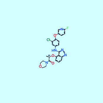 C[C@@H](Oc1cccc2ncnc(Nc3ccc(Oc4ccc(F)nc4)c(Cl)c3)c12)C(=O)N1CCOCC1